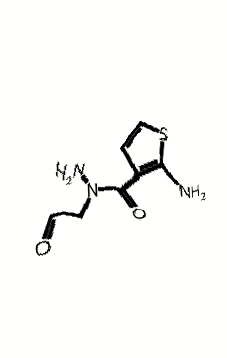 Nc1sccc1C(=O)N(N)CC=O